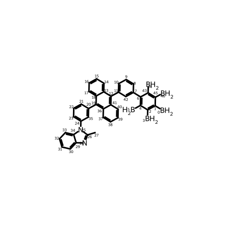 Bc1c(B)c(B)c(-c2cccc(-c3c4ccccc4c(-c4cccc(-n5c(C)nc6ccccc65)c4)c4ccccc34)c2)c(B)c1B